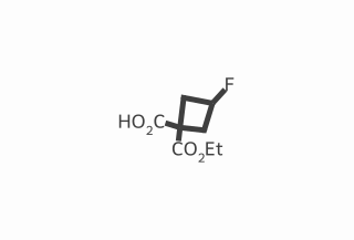 CCOC(=O)C1(C(=O)O)CC(F)C1